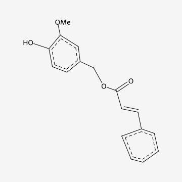 COc1cc(COC(=O)C=Cc2ccccc2)ccc1O